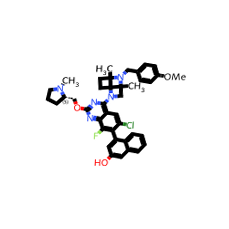 COc1ccc(CN2C3(C)CCC34N(c3nc(OC[C@@H]5CCCN5C)nc5c(F)c(-c6cc(O)cc7ccccc67)c(Cl)cc35)CC24C)cc1